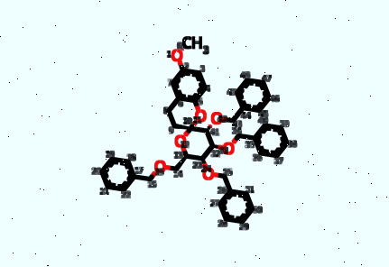 COc1ccc2c(c1)CC[C@]1(O2)O[C@H](COCc2ccccc2)[C@H](OCc2ccccc2)[C@H](OCc2ccccc2)[C@H]1OCc1ccccc1